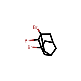 Br[C]1C2(Br)CC3CC(C2)CC1(Br)C3